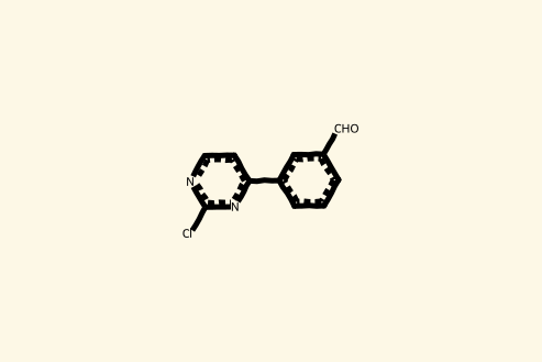 O=Cc1cccc(-c2ccnc(Cl)n2)c1